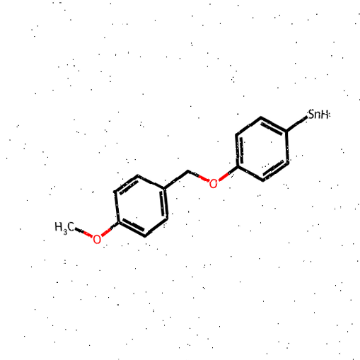 COc1ccc(COc2cc[c]([SnH])cc2)cc1